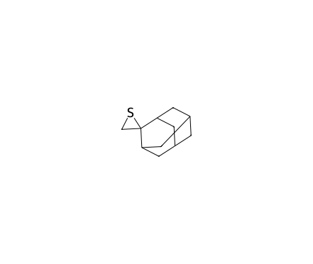 C1C2CC3CC1CC(C2)C31CS1